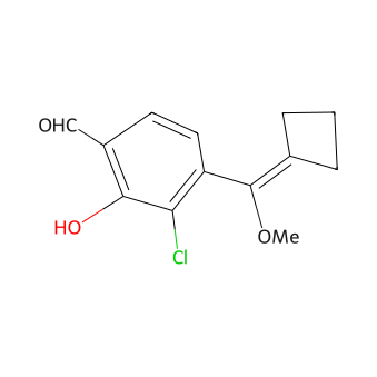 COC(=C1CCC1)c1ccc(C=O)c(O)c1Cl